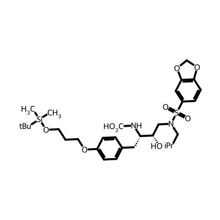 CC(C)CN(C[C@H](O)[C@H](Cc1ccc(OCCCO[Si](C)(C)C(C)(C)C)cc1)NC(=O)O)S(=O)(=O)c1ccc2c(c1)OCO2